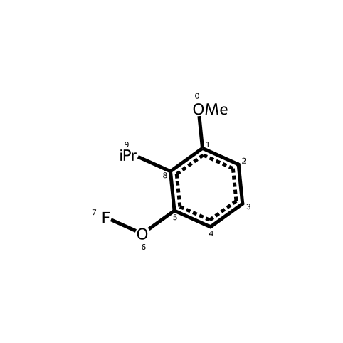 COc1cccc(OF)c1C(C)C